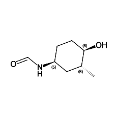 C[C@@H]1C[C@@H](NC=O)CC[C@H]1O